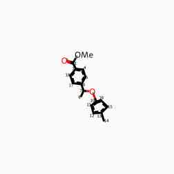 COC(=O)c1ccc(C(C)Oc2ccc(C)cc2)cc1